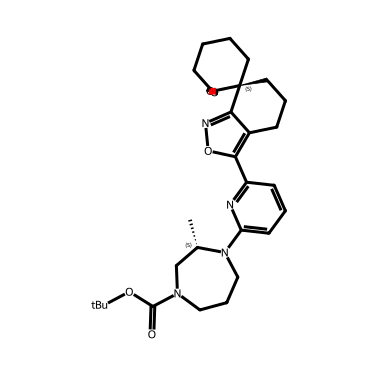 C[C@H]1CN(C(=O)OC(C)(C)C)CCCN1c1cccc(-c2onc3c2CCC[C@@]32CCCCC23OCCO3)n1